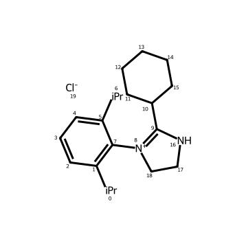 CC(C)c1cccc(C(C)C)c1[N+]1=C(C2CCCCC2)NCC1.[Cl-]